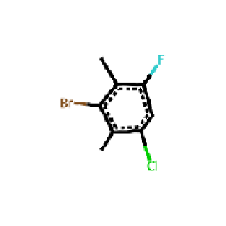 Cc1c(F)cc(Cl)c(C)c1Br